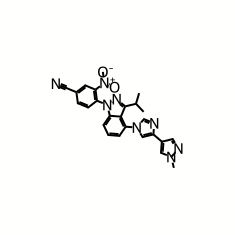 CC(C)c1nn(-c2ccc(C#N)cc2[N+](=O)[O-])c2cccc(-n3cnc(-c4cnn(C)c4)c3)c12